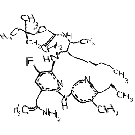 C=C(NC(C)C(CCCCC)Nc1nc(Nc2cnc(CC)c(C)c2)c(C(=C)N)cc1F)OC(C)(C)C